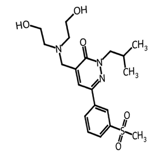 CC(C)Cn1nc(-c2cccc(S(C)(=O)=O)c2)cc(CN(CCO)CCO)c1=O